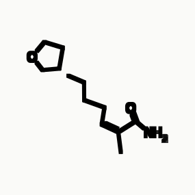 C1CCOC1.CCCCC=C(C)C(N)=O